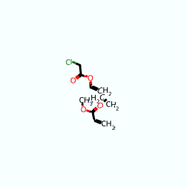 C=C.C=CC(=O)OC.C=COC(=O)CCl